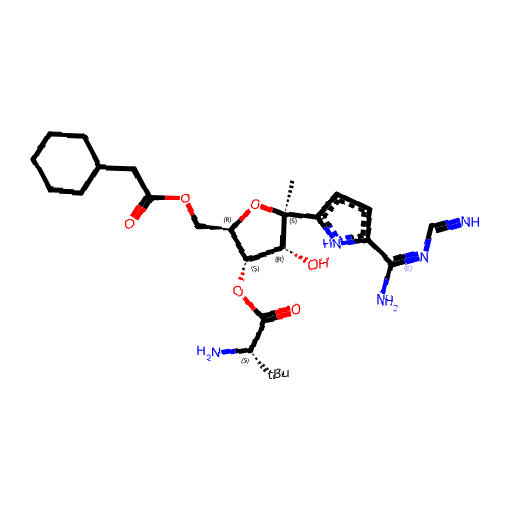 CC(C)(C)[C@H](N)C(=O)O[C@H]1[C@@H](O)[C@](C)(c2ccc(/C(N)=N\C=N)[nH]2)O[C@@H]1COC(=O)CC1CCCCC1